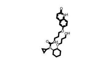 O=C(NCCCOc1ccc2[nH]c(=O)ccc2c1)N(C1CC1)[C@@H]1CCCC[C@H]1OCCCO